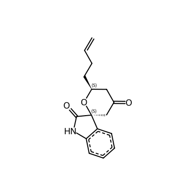 C=CCC[C@H]1CC(=O)C[C@@]2(O1)C(=O)Nc1ccccc12